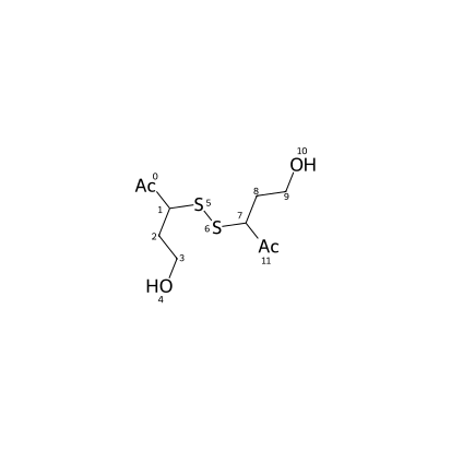 CC(=O)C(CCO)SSC(CCO)C(C)=O